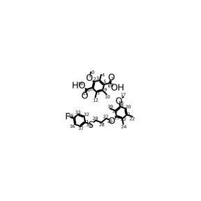 COc1c(C)c(C(=O)O)c(C)c(C)c1C(=O)O.COc1cc(C)c(C)c(OCCCSc2ccc(F)cc2)c1C